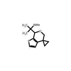 CNC(C)(C)C1OCC2(CC2)c2ccsc21